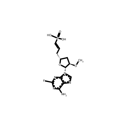 CO[C@@H]1C[C@@H](C/C=C/P(=O)(O)O)O[C@H]1n1cnc2c(N)nc(F)nc21